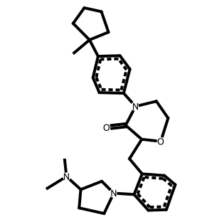 CN(C)C1CCN(c2ccccc2CC2OCCN(c3ccc(C4(C)CCCC4)cc3)C2=O)C1